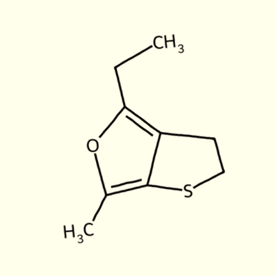 CCc1oc(C)c2c1CCS2